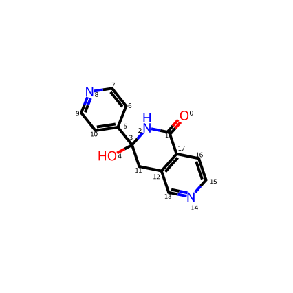 O=C1NC(O)(c2ccncc2)Cc2cnccc21